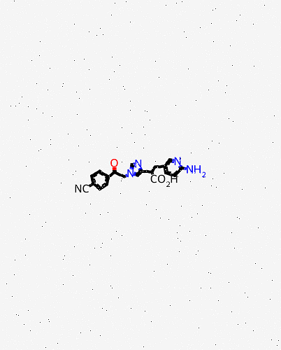 N#Cc1ccc(C(=O)Cn2cnc(C(Cc3ccc(N)nc3)C(=O)O)c2)cc1